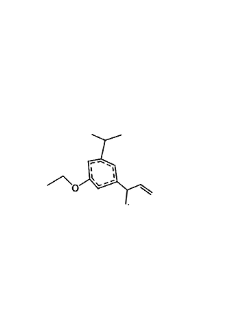 [CH2]C(C=C)c1cc(OCC)cc(C(C)C)c1